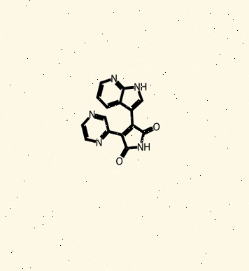 O=C1NC(=O)C(c2c[nH]c3ncccc23)=C1c1cnccn1